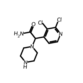 NC(=O)C(c1ccnc(Cl)c1Cl)N1CCNCC1